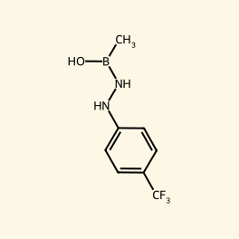 CB(O)NNc1ccc(C(F)(F)F)cc1